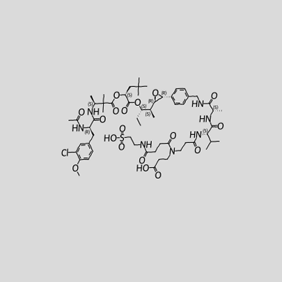 CC[C@H](OC(=O)[C@H](CC(C)(C)C)OC(=O)C(C)(C)[C@H](C)NC(=O)[C@@H](Cc1ccc(OC)c(Cl)c1)NC(C)=O)[C@H](C)[C@H]1O[C@@H]1c1ccc(CNC(=O)[C@H](C)NC(=O)[C@@H](NC(=O)CCN(CCC(=O)O)C(=O)CCC(=O)NCCS(=O)(=O)O)C(C)C)cc1